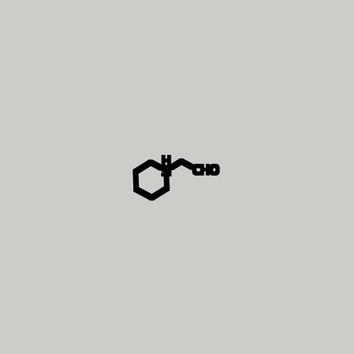 O=CC[SiH]1CCCCC1